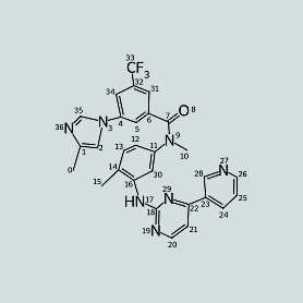 Cc1cn(-c2cc(C(=O)N(C)c3ccc(C)c(Nc4nccc(-c5cccnc5)n4)c3)cc(C(F)(F)F)c2)cn1